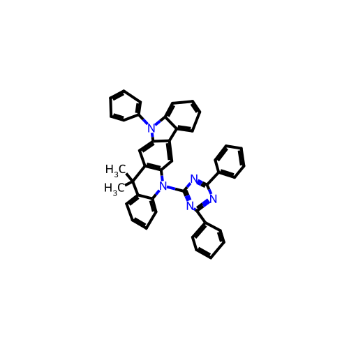 CC1(C)c2ccccc2N(c2nc(-c3ccccc3)nc(-c3ccccc3)n2)c2cc3c4ccccc4n(-c4ccccc4)c3cc21